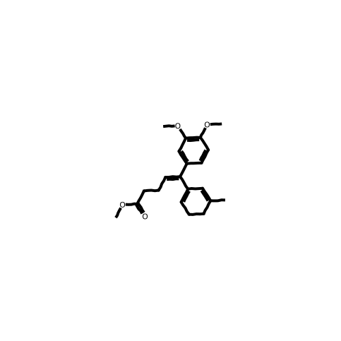 COC(=O)CC/C=C(\C1=CCCC(C)=C1)c1ccc(OC)c(OC)c1